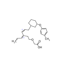 C=C/C=C(\C=C/CC1CCCC(Oc2ccc(C)cc2)C1)CCOCC(=O)O